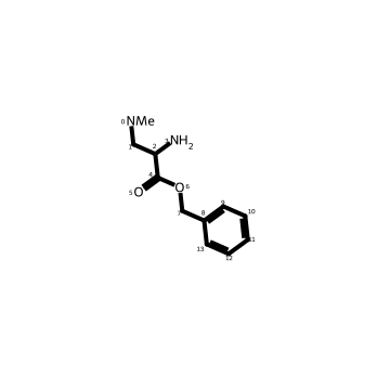 CNCC(N)C(=O)OCc1ccccc1